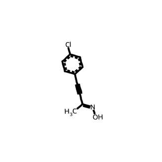 CC(C#Cc1ccc(Cl)cc1)=NO